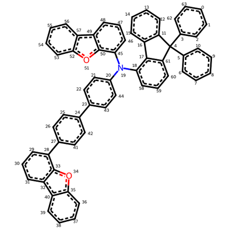 c1ccc(C2(c3ccccc3)c3ccccc3-c3c(N(c4ccc(-c5ccc(-c6cccc7c6oc6ccccc67)cc5)cc4)c4cccc5c4oc4ccccc45)cccc32)cc1